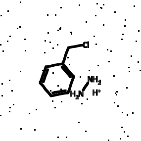 ClCc1ccccc1.NN.[H+]